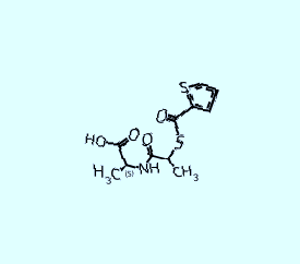 CC(SC(=O)c1cccs1)C(=O)N[C@@H](C)C(=O)O